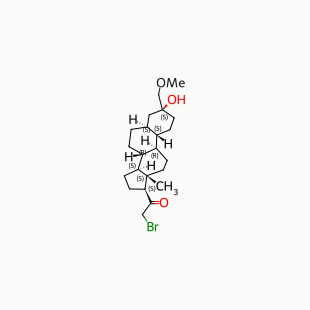 COC[C@]1(O)CC[C@H]2[C@@H](CC[C@@H]3[C@@H]2CC[C@]2(C)[C@@H](C(=O)CBr)CC[C@@H]32)C1